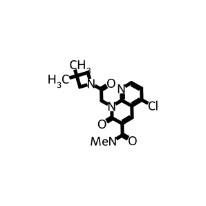 CNC(=O)c1cc2c(Cl)ccnc2n(CC(=O)N2CC(C)(C)C2)c1=O